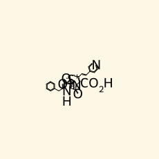 O=C(Cc1ccccc1)NC1C(=O)N2C(C(=O)O)=C(C=Cc3ccncc3)C[S+]([O-])[C@@H]12